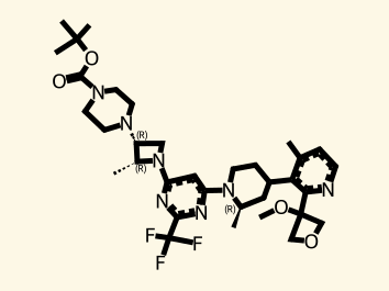 COC1(c2nccc(C)c2C2CCN(c3cc(N4C[C@@H](N5CCN(C(=O)OC(C)(C)C)CC5)[C@H]4C)nc(C(F)(F)F)n3)[C@H](C)C2)COC1